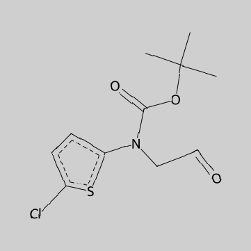 CC(C)(C)OC(=O)N(CC=O)c1ccc(Cl)s1